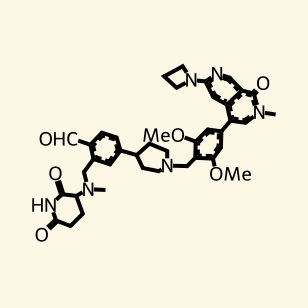 COc1cc(-c2cn(C)c(=O)c3cnc(N4CCC4)cc23)cc(OC)c1CN1CCC(c2ccc(C=O)c(CN(C)C3CCC(=O)NC3=O)c2)CC1